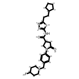 O=C(Nc1nnc(CCC2CCCC2)s1)C1CC(=O)N(c2ccc(CN3CCC(F)CC3)cc2)C1